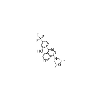 CC1CN(c2nnc(-c3ccc(C(F)(F)F)cc3O)c3ccncc23)CC(C)O1